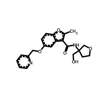 Cc1oc2ccc(OCc3ccccn3)cc2c1C(=O)NC1(CO)CCOC1